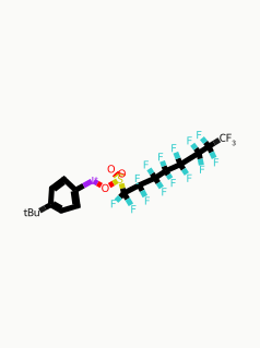 CC(C)(C)c1ccc([I+]OS(=O)(=O)C(F)(F)C(F)(F)C(F)(F)C(F)(F)C(F)(F)C(F)(F)C(F)(F)C(F)(F)F)cc1